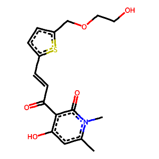 Cc1cc(O)c(C(=O)C=Cc2ccc(COCCO)s2)c(=O)n1C